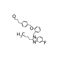 CCCCc1nc2cc(F)ccc2n1Cc1ccccc1OCc1ccc(CCC=O)cc1